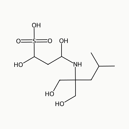 CC(C)CC(CO)(CO)NC(O)CC(O)S(=O)(=O)O